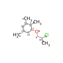 Cc1cc(C)c(C)c(OCC(C)Cl)c1